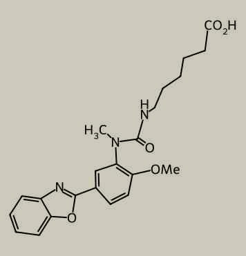 COc1ccc(-c2nc3ccccc3o2)cc1N(C)C(=O)NCCCCCC(=O)O